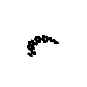 COCCOc1cnc(-c2cccc(Cc3nnc4ccc(C(=O)N(C)C)nn34)c2)nc1